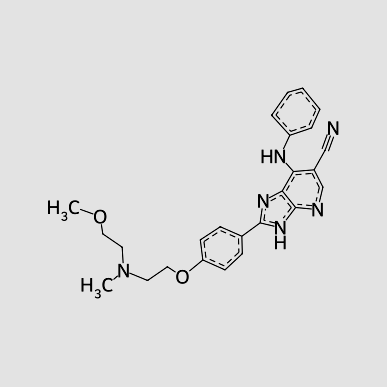 COCCN(C)CCOc1ccc(-c2nc3c(Nc4ccccc4)c(C#N)cnc3[nH]2)cc1